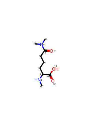 CNC(CCCC(=O)N(C)C)C(=O)O